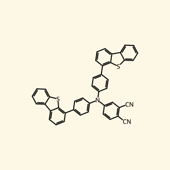 N#Cc1ccc(N(c2ccc(-c3cccc4c3sc3ccccc34)cc2)c2ccc(-c3cccc4c3sc3ccccc34)cc2)cc1C#N